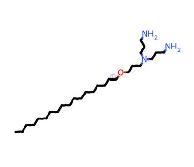 CCCCCCCCCCCCCCCC/C=C/OCCCN(CCCN)CCCN